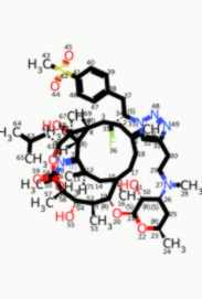 C=C1CC[C@@H]2[C@@H](C)/C(=N/C(C)=O)[C@H](C)C[C@@](C)(CC1)[C@H](O[C@@H]1O[C@H](C)C[C@H](N(C)CCc3cn([C@H](CF)Cc4ccc(S(C)(=O)=O)cc4)nn3)[C@H]1O)[C@@H](C)[C@H](O)[C@@H](C)C(=O)O[C@H](CC(C)C)[C@@]2(C)O